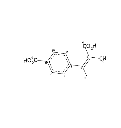 CC(=C(C#N)C(=O)O)c1ccc(C(=O)O)cc1